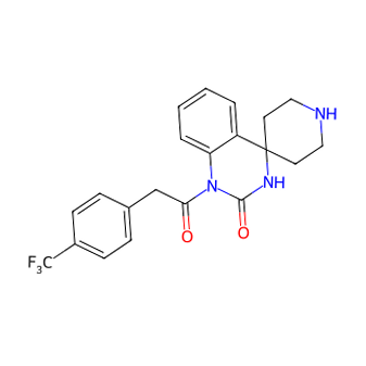 O=C(Cc1ccc(C(F)(F)F)cc1)N1C(=O)NC2(CCNCC2)c2ccccc21